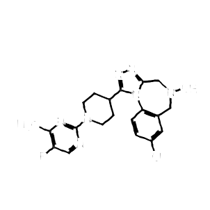 Cc1nc(N2CCC(c3nnc4n3-c3ccc(Cl)cc3CN(C)C4)CC2)ncc1F